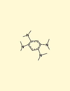 CN(C)c1[c]c(N(C)C)c(N(C)C)cc1N(C)C